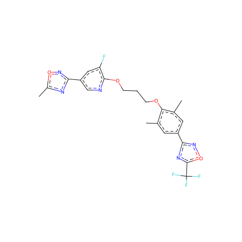 Cc1nc(-c2cnc(OCCCOc3c(C)cc(-c4noc(C(F)(F)F)n4)cc3C)c(F)c2)no1